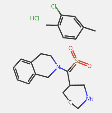 Cc1ccc(C)c(Cl)c1.Cl.O=S(=O)=C(C1CCCNC1)N1CCc2ccccc2C1